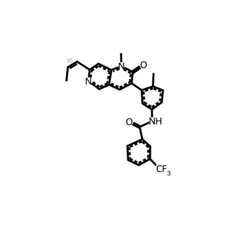 C/C=C\c1cc2c(cn1)cc(-c1cc(NC(=O)c3cccc(C(F)(F)F)c3)ccc1C)c(=O)n2C